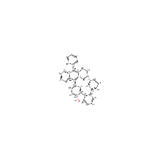 C1=Cc2c(c(-c3ccccc3)c3ccccc3c2-c2ccc3oc4cccc(-c5ccccc5)c4c3c2)CC1